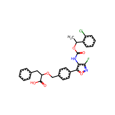 CC(OC(=O)Nc1c(F)noc1-c1ccc(COC(Cc2ccccc2)C(=O)O)cc1)c1ccccc1Cl